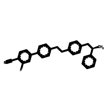 C[C@H](Cc1ccc(CCc2ccc(-c3ccc(C#N)c(F)c3)cc2)cc1)c1ccccc1